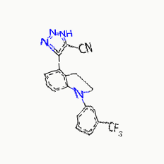 N#Cc1[nH]nnc1-c1cccc2c1CCN2c1cccc(C(F)(F)F)c1